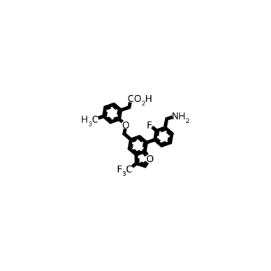 Cc1ccc(CC(=O)O)c(OCc2cc(-c3cccc(CN)c3F)c3occ(C(F)(F)F)c3c2)c1